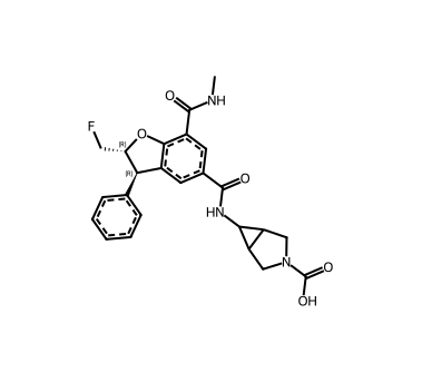 CNC(=O)c1cc(C(=O)NC2C3CN(C(=O)O)CC32)cc2c1O[C@@H](CF)[C@@H]2c1ccccc1